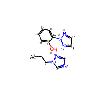 CC(=O)CCn1cncn1.Oc1ccccc1-n1nccn1